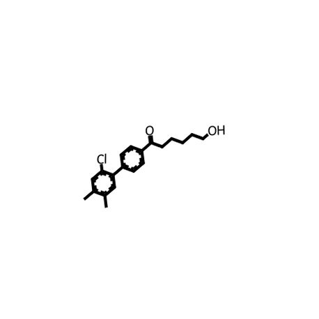 Cc1cc(Cl)c(-c2ccc(C(=O)CCCCCO)cc2)cc1C